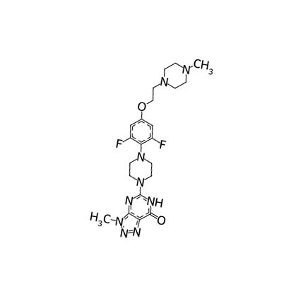 CN1CCN(CCOc2cc(F)c(N3CCN(c4nc5c(nnn5C)c(=O)[nH]4)CC3)c(F)c2)CC1